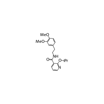 COc1ccc(CCNC(=O)c2cccnc2OC(C)C)cc1OC